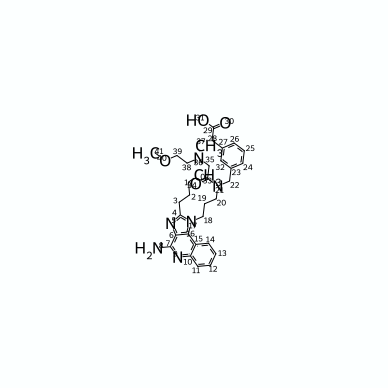 CCCCc1nc2c(N)nc3ccccc3c2n1CCCN(Cc1cccc(CC(=O)O)c1)C(=O)CN(C)CCOC